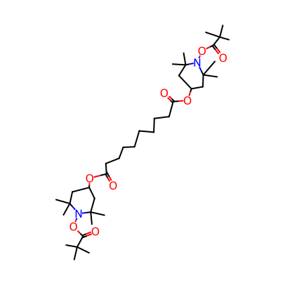 CC(C)(C)C(=O)ON1C(C)(C)CC(OC(=O)CCCCCCCCC(=O)OC2CC(C)(C)N(OC(=O)C(C)(C)C)C(C)(C)C2)CC1(C)C